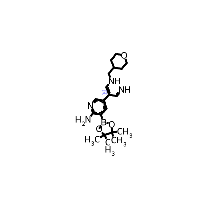 CC1(C)OB(c2cc(/C(C=N)=C/NCC3CCOCC3)cnc2N)OC1(C)C